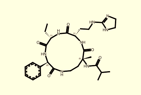 CC[C@@H]1NC(=O)[C@H](CCNC2=NCCN2)NC(=O)[C@](C)(NC(=O)C(C)C)CCNC(=O)[C@@H](c2ccccc2)NC1=O